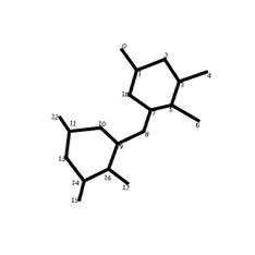 CC1CC(C)C(C)C(CC2CC(C)CC(C)C2C)C1